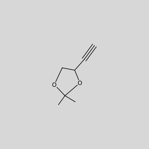 C#CC1COC(C)(C)O1